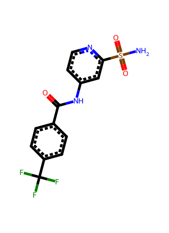 NS(=O)(=O)c1cc(NC(=O)c2ccc(C(F)(F)F)cc2)ccn1